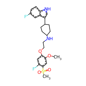 COc1cc(S(C)(=O)=O)c(F)cc1OCCNC1CCC(c2c[nH]c3ccc(F)cc23)CC1